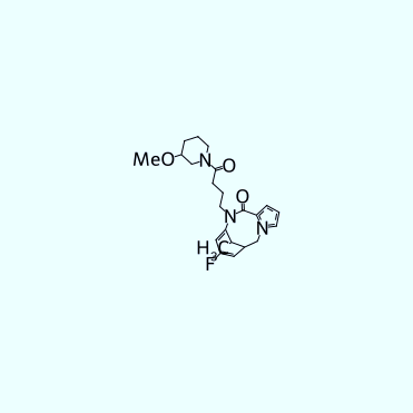 COC1CCCN(C(=O)CCCN2C(=O)c3cccn3CC3C=C(F)C=C2C3C)C1